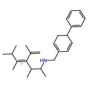 C=C(C)/C(=C(/C)C(C)C)C(C)C(C)NCC1=CCC(c2ccccc2)C=C1